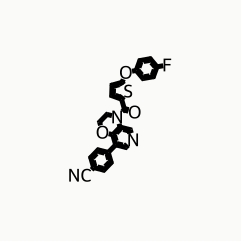 N#Cc1ccc(-c2cncc3c2OCCN3C(=O)c2ccc(Oc3ccc(F)cc3)s2)cc1